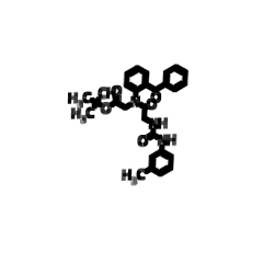 Cc1cccc(NC(=O)NCC(=O)N(CC(=O)OC(C)(C)C)c2ccccc2C(=O)c2ccccc2)c1